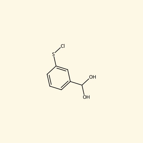 OC(O)c1cccc(SCl)c1